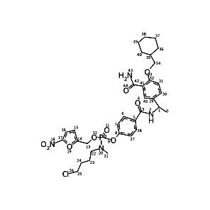 CC(NC(=O)c1ccc(OP(=O)(OCc2ccc([N+](=O)[O-])o2)N(C)CCCCCl)cc1)c1ccc(OCC2CCCCC2)c(C(N)=O)c1